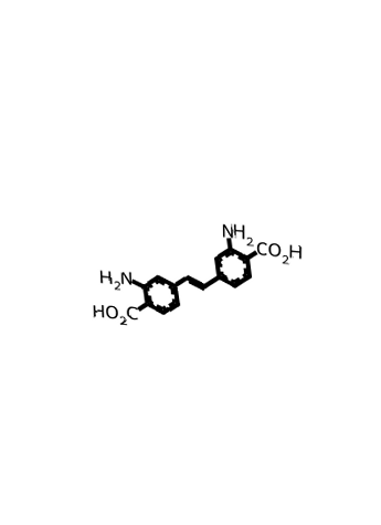 Nc1cc(C=Cc2ccc(C(=O)O)c(N)c2)ccc1C(=O)O